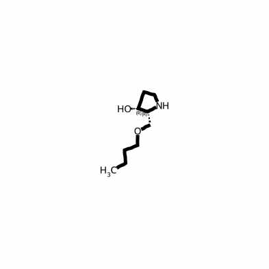 CCCCOC[C@H]1NCC[C@H]1O